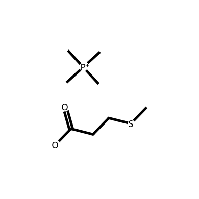 CSCCC(=O)[O-].C[P+](C)(C)C